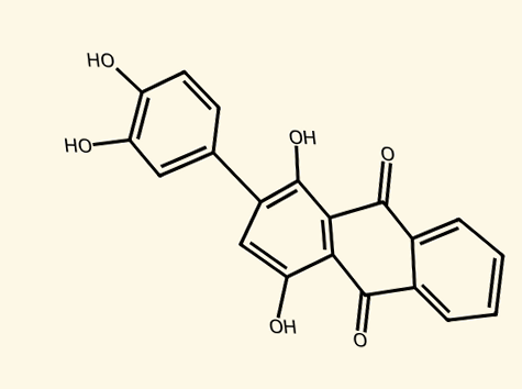 O=C1c2ccccc2C(=O)c2c(O)c(-c3ccc(O)c(O)c3)cc(O)c21